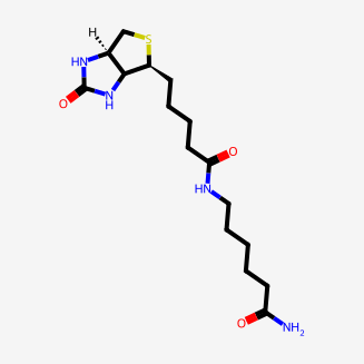 NC(=O)CCCCCNC(=O)CCCC[C@@H]1SC[C@@H]2NC(=O)NC21